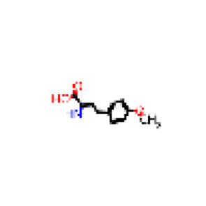 COc1ccc(CCC(=N)C(=O)O)cc1